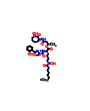 CCCCCCCCCCCCCCCC(=O)N(O)CCCC[C@H](NC(=O)[C@@H]1COC(c2ccccc2O)=N1)C(=O)O[C@@H](C)CC(=O)N[C@H]1CCCCN(O)C1=O